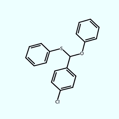 Clc1ccc(C(Oc2ccccc2)Sc2ccccc2)cc1